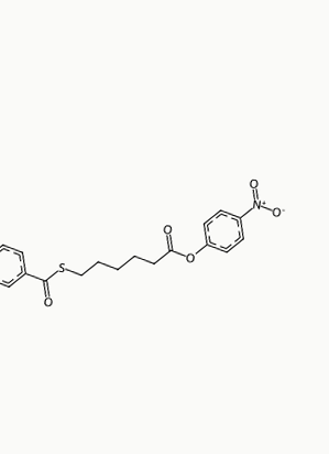 O=C(CCCCCSC(=O)c1ccccc1)Oc1ccc([N+](=O)[O-])cc1